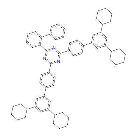 c1ccc(-c2ccccc2-c2nc(-c3ccc(-c4cc(C5CCCCC5)cc(C5CCCCC5)c4)cc3)nc(-c3ccc(-c4cc(C5CCCCC5)cc(C5CCCCC5)c4)cc3)n2)cc1